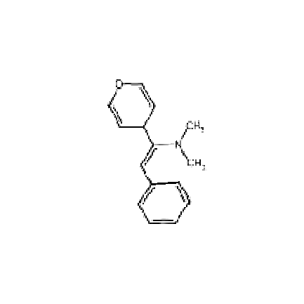 CN(C)C(=Cc1ccccc1)C1C=COC=C1